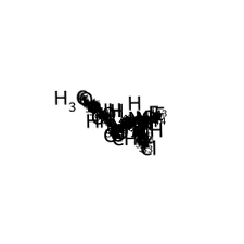 COCc1ccc(NC(=O)C(=O)NCC[C@H](NC(=O)c2ccc(Nc3nc(NC4(c5ccc(Cl)cc5)CC4)nc(OCC(F)(F)F)n3)cc2)C(=O)OC)cc1